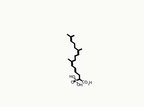 CC(C)=CCCC(C)=CCCC(C)=CC=CCC(C(=O)O)P(=O)(O)O